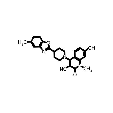 Cc1ccc2oc(C3CCN(c4c(C#N)c(=O)n(C)c5cc(O)ccc45)CC3)nc2c1